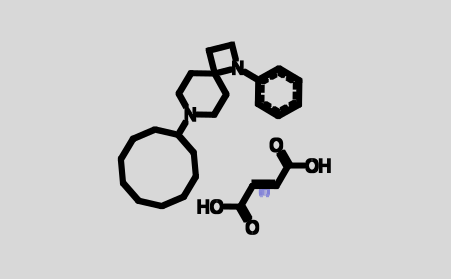 O=C(O)/C=C/C(=O)O.c1ccc(N2CCC23CCN(C2CCCCCCCCC2)CC3)cc1